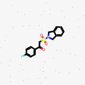 O=C(CS(=O)(=O)N1Cc2ccccc2C1)c1ccc(F)cc1